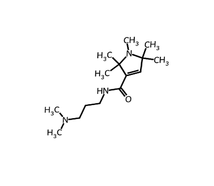 CN(C)CCCNC(=O)C1=CC(C)(C)N(C)C1(C)C